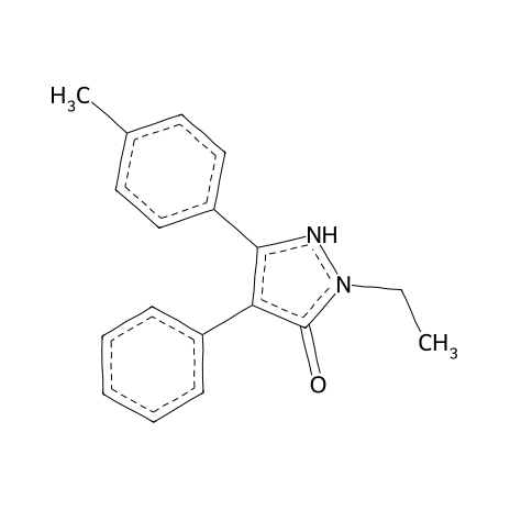 CCn1[nH]c(-c2ccc(C)cc2)c(-c2ccccc2)c1=O